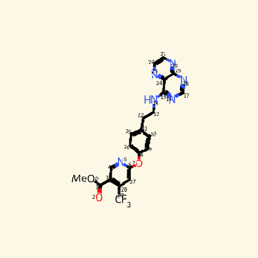 COC(=O)c1cnc(Oc2ccc(CCNc3ncnc4nccnc34)cc2)cc1C(F)(F)F